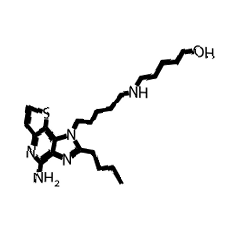 CCCCc1nc2c(N)nc3ccsc3c2n1CCCCCNCCCCCO